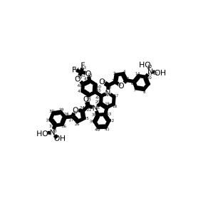 O=C(c1ccc(-c2cccc(N(O)O)c2)o1)N1CCc2c(n(C(=O)c3ccc(-c4cccc(N(O)O)c4)o3)c3ccccc23)C1c1ccc2c(c1)OC(F)(F)O2